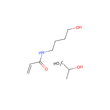 C=CC(=O)NCCCCO.CC(O)C(=O)O